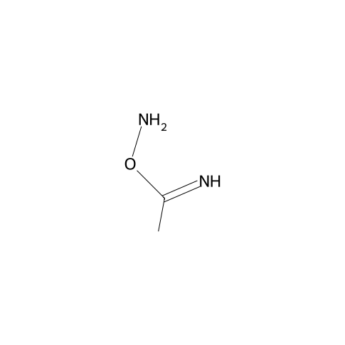 CC(=N)ON